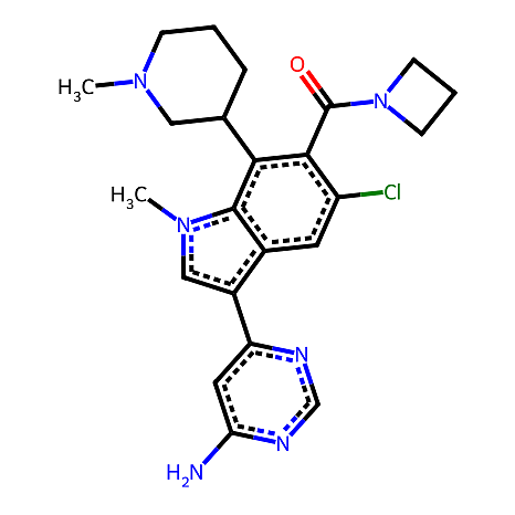 CN1CCCC(c2c(C(=O)N3CCC3)c(Cl)cc3c(-c4cc(N)ncn4)cn(C)c23)C1